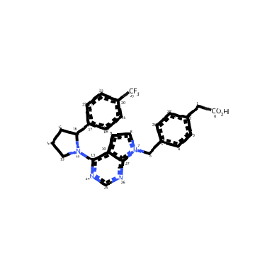 O=C(O)Cc1ccc(Cn2ccc3c(N4CCCC4c4ccc(C(F)(F)F)cc4)ncnc32)cc1